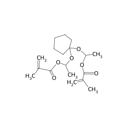 C=C(C)C(=O)OC(C)OC1(OC(C)OC(=O)C(=C)C)CCCCC1